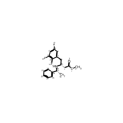 COC(=O)C[C@@H](Cc1cc(F)cc(F)c1F)N[C@H](C)c1ccccc1